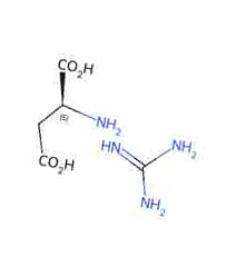 N=C(N)N.N[C@@H](CC(=O)O)C(=O)O